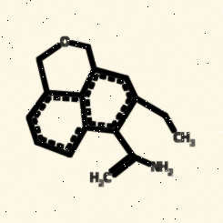 C=C(N)c1c(CC)cc2c3c(cccc13)COC2